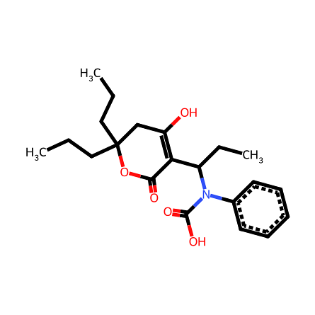 CCCC1(CCC)CC(O)=C(C(CC)N(C(=O)O)c2ccccc2)C(=O)O1